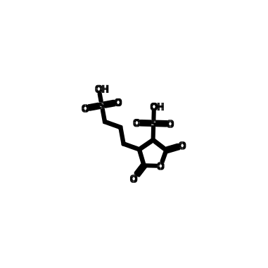 O=C1OC(=O)C(S(=O)(=O)O)C1CCCS(=O)(=O)O